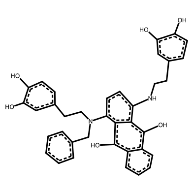 Oc1ccc(CCNc2ccc(N(CCc3ccc(O)c(O)c3)Cc3ccccc3)c3c(O)c4ccccc4c(O)c23)cc1O